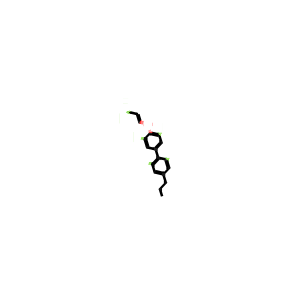 CCCc1cc(F)c(-c2cc(F)c(O/C=C/C(F)F)c(F)c2)c(F)c1